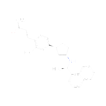 COC(=O)CCc1ccc([C@H]2CC[C@@H](N[C@H](C)c3cccc4ccccc34)C2)cc1C(F)(F)F